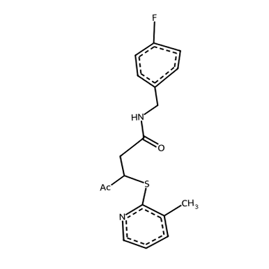 CC(=O)C(CC(=O)NCc1ccc(F)cc1)Sc1ncccc1C